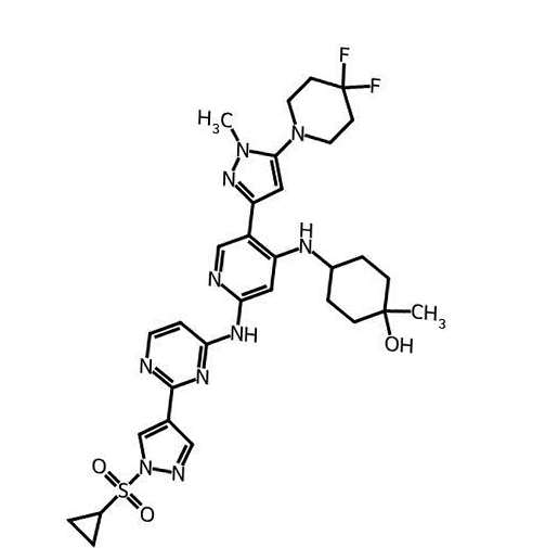 Cn1nc(-c2cnc(Nc3ccnc(-c4cnn(S(=O)(=O)C5CC5)c4)n3)cc2NC2CCC(C)(O)CC2)cc1N1CCC(F)(F)CC1